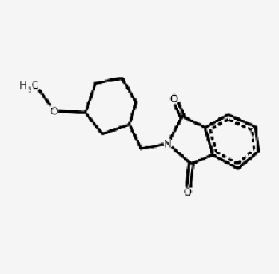 COC1CCCC(CN2C(=O)c3ccccc3C2=O)C1